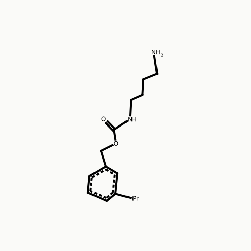 CC(C)c1cccc(COC(=O)NCCCCN)c1